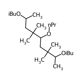 CCCOC(CC(C)(C)C(C)OCC(C)C)C(C)(C)CC(C)OCC(C)C